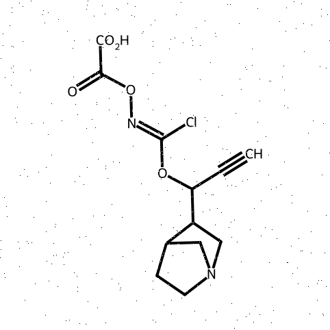 C#CC(OC(Cl)=NOC(=O)C(=O)O)C1CN2CCC1C2